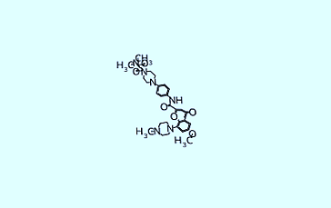 COc1cc(N2CCN(C)CC2)c2oc(C(=O)Nc3ccc(N4CCN(S(=O)(=O)N(C)C)CC4)cc3)cc(=O)c2c1